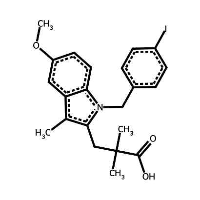 COc1ccc2c(c1)c(C)c(CC(C)(C)C(=O)O)n2Cc1ccc(I)cc1